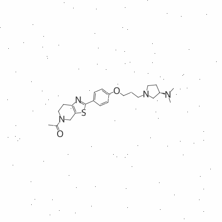 CC(=O)N1CCc2nc(-c3ccc(OCCCN4CC[C@@H](N(C)C)C4)cc3)sc2C1